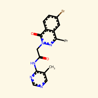 Cc1cncnc1NC(=O)Cn1nc(C(C)C)c2cc(Br)ccc2c1=O